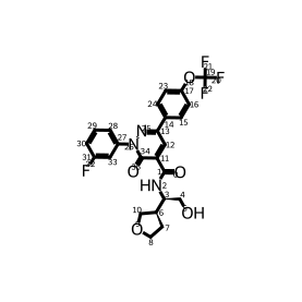 O=C(N[C@@H](CO)[C@H]1CCOC1)c1cc(-c2ccc(OC(F)(F)F)cc2)nn(-c2cccc(F)c2)c1=O